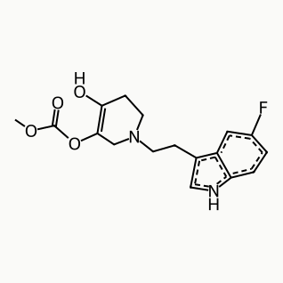 COC(=O)OC1=C(O)CCN(CCc2c[nH]c3ccc(F)cc23)C1